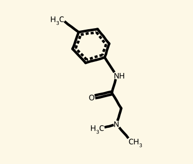 Cc1ccc(NC(=O)CN(C)C)cc1